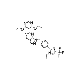 CCOc1ncnc(OCC)c1-c1ncc2cnn(Cc3ccc(-c4nc(C(F)(F)F)cn4CC)cc3)c2n1